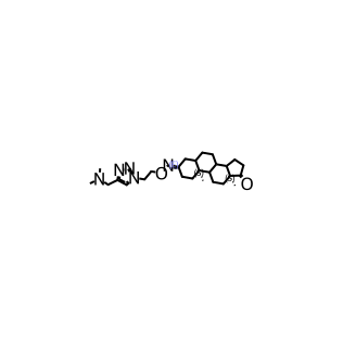 CN(C)Cc1cn(CCO/N=C2\CC[C@@]3(C)C(CCC4C3CC[C@]3(C)C(=O)CCC43)C2)nn1